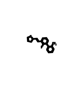 Fc1c(C=CC2CC=CS2)cccc1-c1ccccc1C(F)(F)F